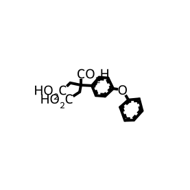 O=C(O)CC(CC(=O)O)(C(=O)O)c1ccc(Oc2ccccc2)cc1